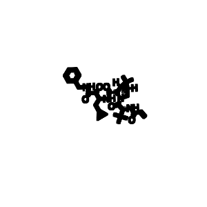 C=CC(=O)N[C@H](C(=O)N1C[C@H]2[C@@H]([C@H]1C(=O)NC(CC1CC1)C(=O)C(=O)NCc1ccccc1)C2(C)C)C(C)(C)C